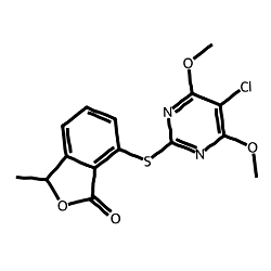 COc1nc(Sc2cccc3c2C(=O)OC3C)nc(OC)c1Cl